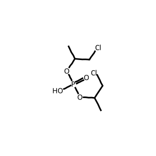 CC(CCl)OP(=O)(O)OC(C)CCl